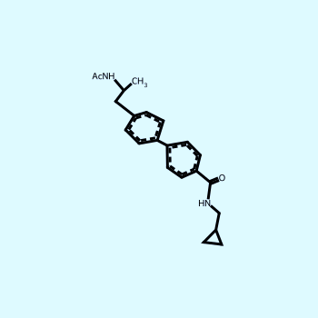 CC(=O)NC(C)Cc1ccc(-c2ccc(C(=O)NCC3CC3)cc2)cc1